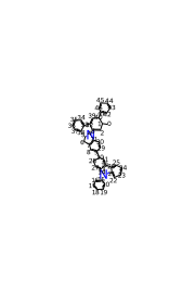 CC1C=C(N2CCc3cc(C4C=c5c(n(-c6ccccc6)c6ccccc56)=CC4)ccc32)C(c2ccccc2)=CC1c1ccccc1